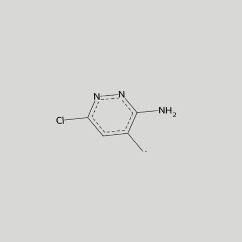 [CH2]c1cc(Cl)nnc1N